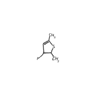 CC1=CC(I)C(C)S1